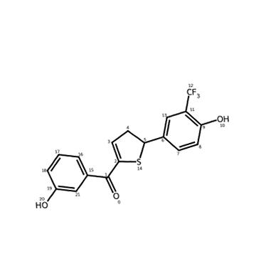 O=C(C1=CCC(c2ccc(O)c(C(F)(F)F)c2)S1)c1cccc(O)c1